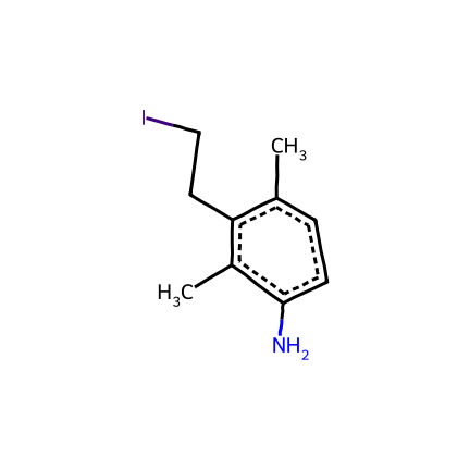 Cc1ccc(N)c(C)c1CCI